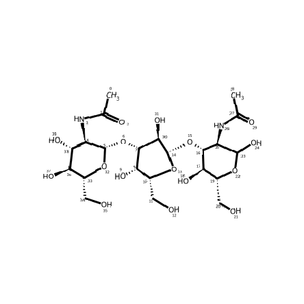 CC(=O)N[C@H]1[C@H](O[C@H]2[C@@H](O)[C@@H](CO)O[C@@H](O[C@H]3[C@H](O)[C@@H](CO)OC(O)[C@@H]3NC(C)=O)[C@@H]2O)O[C@H](CO)[C@@H](O)[C@@H]1O